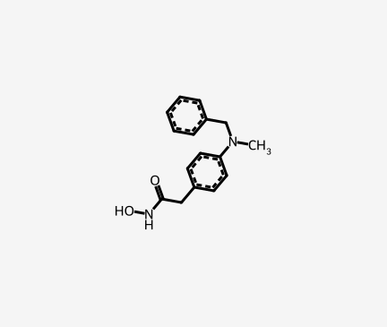 CN(Cc1ccccc1)c1ccc(CC(=O)NO)cc1